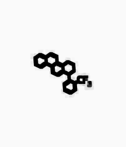 FC(F)(F)c1ccccc1C1CCCc2c1ccc1c2ccc2ccccc21